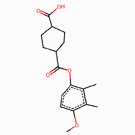 COc1ccc(OC(=O)C2CCC(C(=O)O)CC2)c(C)c1C